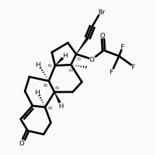 C[C@]12CC[C@H]3[C@@H](CCC4=CC(=O)CC[C@@H]43)[C@@H]1CC[C@]2(C#CBr)OC(=O)C(F)(F)F